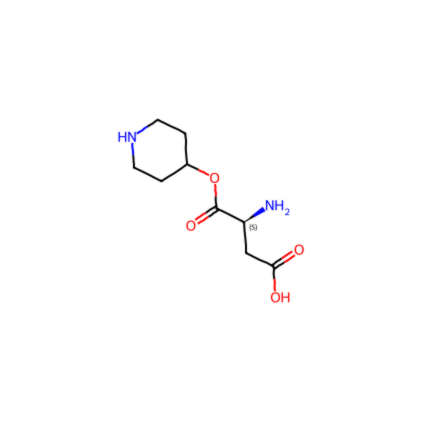 N[C@@H](CC(=O)O)C(=O)OC1CCNCC1